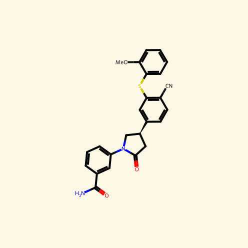 COc1ccccc1Sc1cc([C@H]2CC(=O)N(c3cccc(C(N)=O)c3)C2)ccc1C#N